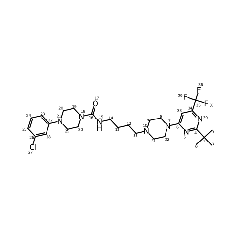 CC(C)(C)c1nc(N2CCN(CCCCNC(=O)N3CCN(c4cccc(Cl)c4)CC3)CC2)cc(C(F)(F)F)n1